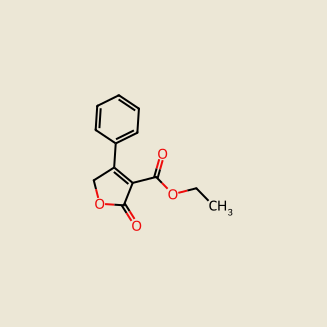 CCOC(=O)C1=C(c2ccccc2)COC1=O